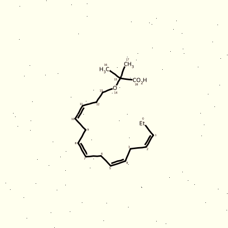 CC/C=C\C/C=C\C/C=C\C/C=C\CCOC(C)(C)C(=O)O